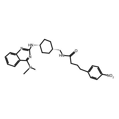 CN(C)c1nc(N[C@H]2CC[C@@H](CNC(=O)CCCc3ccc([N+](=O)[O-])cc3)CC2)nc2ccccc12